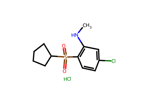 CNc1cc(Cl)ccc1S(=O)(=O)C1CCCC1.Cl